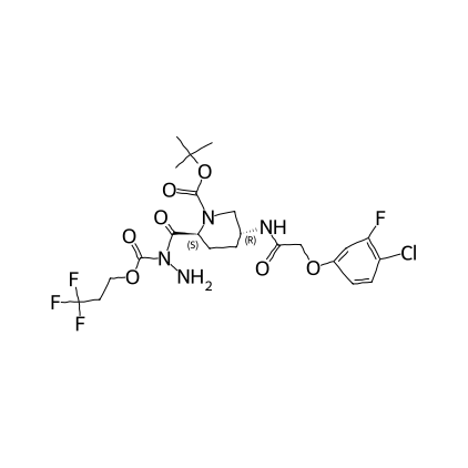 CC(C)(C)OC(=O)N1C[C@H](NC(=O)COc2ccc(Cl)c(F)c2)CC[C@H]1C(=O)N(N)C(=O)OCCC(F)(F)F